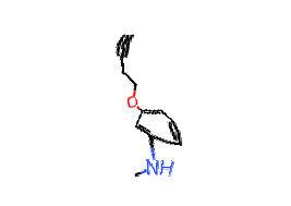 C#CCCOc1cccc(NC)c1